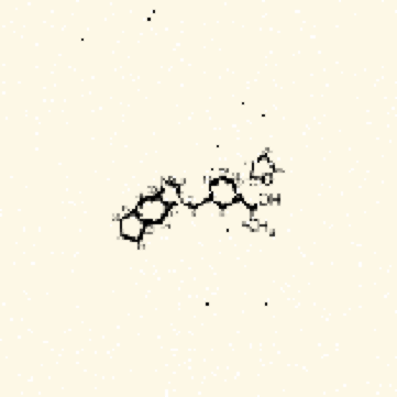 CC(O)c1cc(Cn2cnc3cc4c(cc32)CCC4)ccc1[C@@H]1CCCO1